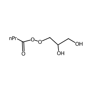 CCCC(=O)OOCC(O)CO